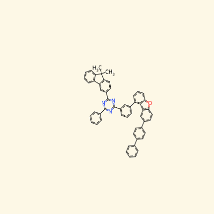 CC1(C)c2ccccc2-c2cc(-c3nc(-c4ccccc4)nc(-c4cccc(-c5cccc6oc7ccc(-c8ccc(-c9ccccc9)cc8)cc7c56)c4)n3)ccc21